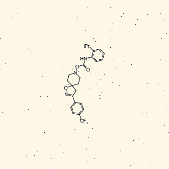 CC(C)c1ccccc1NC(=O)ON1CCC2(CC1)CC(c1ccc(C(F)(F)F)cc1)=NO2